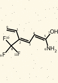 C=C/C(=C\C=C(/N)O)C(F)(F)F